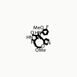 COc1c(F)cccc1Nc1c2[nH]c3c1C(=O)NC[C@H]3/C=C\[C@H](OC)COc1cnccc1-2